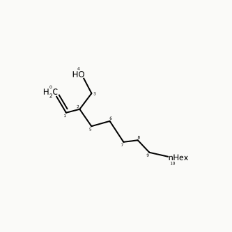 C=CC(CO)CCCCCCCCCCC